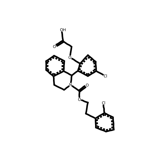 O=C(O)COc1ccc(Cl)cc1C1c2ccccc2CCN1C(=O)OCCc1ccccc1Cl